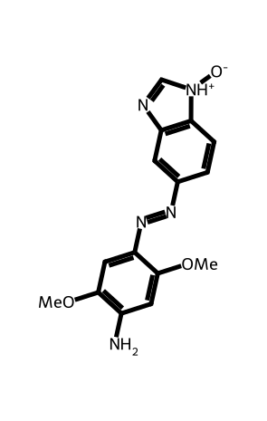 COc1cc(N=Nc2ccc3c(c2)N=C[NH+]3[O-])c(OC)cc1N